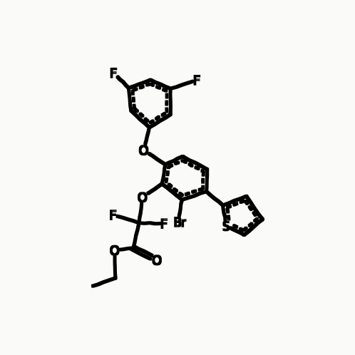 CCOC(=O)C(F)(F)Oc1c(Oc2cc(F)cc(F)c2)ccc(-c2cccs2)c1Br